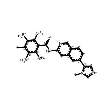 Bc1c(B)c(C(=O)Nc2cc3cc(-c4cncn4C)ccc3cn2)c(B)c(B)c1C